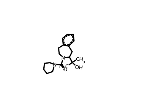 CC(C)(O)C1Cc2ccccc2CCN1C(=O)N1CCCCC1